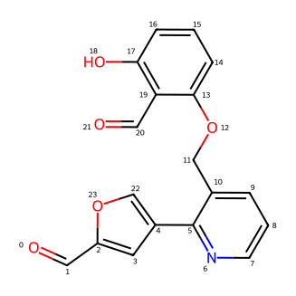 O=Cc1cc(-c2ncccc2COc2cccc(O)c2C=O)co1